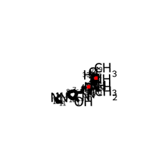 C=C(c1ncc(-c2ccc(-n3ccnc3)cc2O)nn1)[C@@H]1CC2N[C@@]3(C)C([C@H]2OC)[C@@]13F